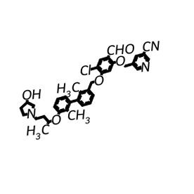 Cc1c(COc2cc(OCc3cncc(C#N)c3)c(C=O)cc2Cl)cccc1-c1cccc(OC(C)CCN2CCC(O)C2)c1C